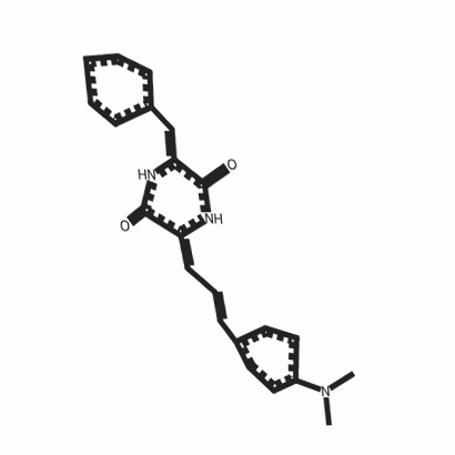 CN(C)c1ccc(C=CC=c2[nH]c(=O)c(=Cc3ccccc3)[nH]c2=O)cc1